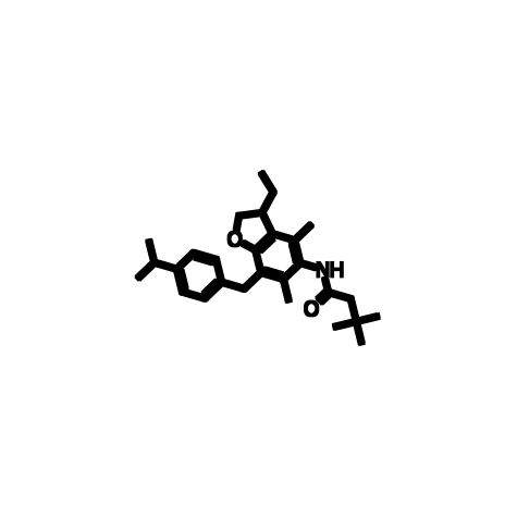 CCC1COc2c(Cc3ccc(C(C)C)cc3)c(C)c(NC(=O)CC(C)(C)C)c(C)c21